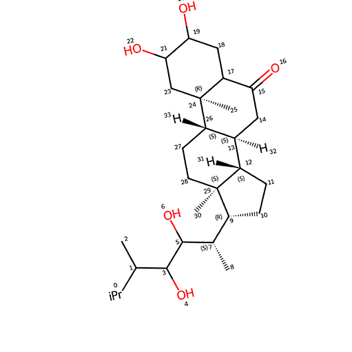 CC(C)C(C)C(O)C(O)[C@@H](C)[C@H]1CC[C@H]2[C@@H]3CC(=O)C4CC(O)C(O)C[C@]4(C)[C@H]3CC[C@]12C